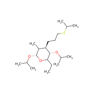 CCC1O[C@H](OC(C)C)C(C)[C@@H](CCCSC(C)C)[C@@H]1OC(C)C